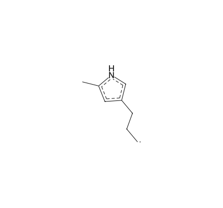 [CH2]CCc1c[nH]c(C)c1